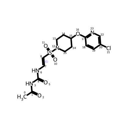 CC(=O)NC(=O)N/C=C/S(=O)(=O)N1CCC(Oc2ccc(Cl)cn2)CC1